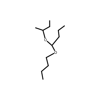 CCCCOC(CCC)OC(C)CC